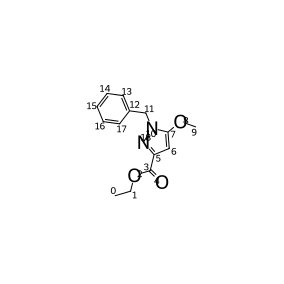 CCOC(=O)c1cc(OC)n(Cc2ccccc2)n1